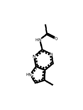 CC(=O)Nc1ncc2c(C)c[nH]c2n1